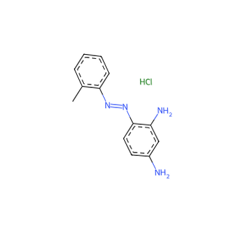 Cc1ccccc1N=Nc1ccc(N)cc1N.Cl